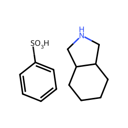 C1CCC2CNCC2C1.O=S(=O)(O)c1ccccc1